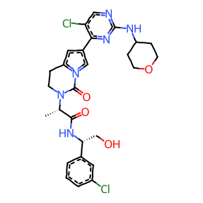 C[C@@H](C(=O)N[C@H](CO)c1cccc(Cl)c1)N1CCc2cc(-c3nc(NC4CCOCC4)ncc3Cl)cn2C1=O